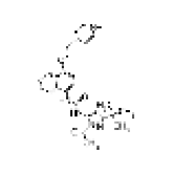 CC(C)n1nc(C(C)(C)C)cc1NC(=O)Nc1ccc(OCCC2C=CNCC2)c2ccccc12